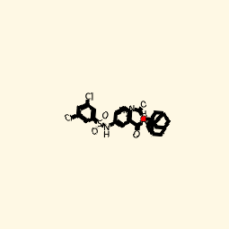 NC(=O)OC12CC3CC(C1)C(NC(=O)c1cccc(NS(=O)(=O)c4cc(Cl)cc(Cl)c4)c1)C(C3)C2